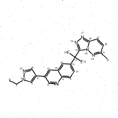 CCn1cc(-c2cnc3ccc(C(F)(F)c4nnc5ccc(C)nn45)cc3c2)cn1